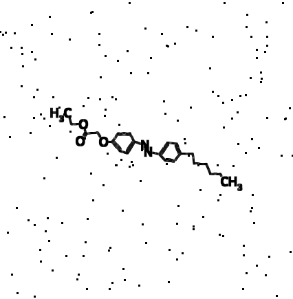 CCCCCCc1ccc(N=Nc2ccc(OCC(=O)OCC)cc2)cc1